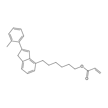 C=CC(=O)OCCCCCCc1cccc2c1C=C(c1ccccc1C)C2